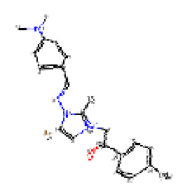 CCc1n(N=Cc2ccc(N(C)C)cc2)cc[n+]1CC(=O)c1ccc(OC)cc1.[Br-]